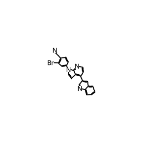 N#Cc1ccc(-n2ccc3c(-c4cnc5ccccc5c4)ccnc32)cc1Br